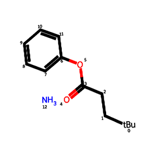 CC(C)(C)CCC(=O)Oc1ccccc1.N